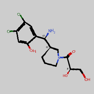 N[C@H](c1cc(Cl)c(Cl)cc1O)[C@@H]1CCCN(C(=O)[C@H](O)CO)C1